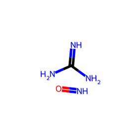 N=C(N)N.N=O